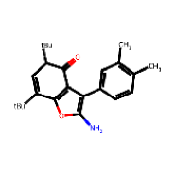 Cc1ccc(-c2c(N)oc3c2C(=O)C(C(C)(C)C)C=C3C(C)(C)C)cc1C